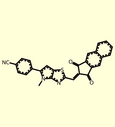 Cn1c(-c2ccc(C#N)cc2)cc2sc(C=C3C(=O)c4cc5ccccc5cc4C3=O)nc21